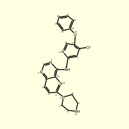 Clc1cc(Nc2ncnc3ccc(N4CCNCC4)nc23)ncc1Oc1ccccc1